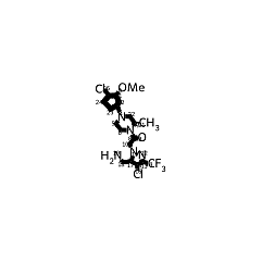 COc1cc(N2CCN(C(=O)CN3N=C(C(F)(F)F)C(Cl)C3CN)[C@@H](C)C2)ccc1Cl